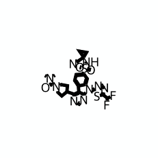 CN(C)C(=O)N1CCC(c2ncnc3c2c2ccc(S(=O)(=O)NC4(C#N)CC4)cc2n3-c2nnc(C(F)F)s2)CC1